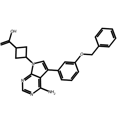 Nc1ncnc2c1c(-c1cccc(OCc3ccccc3)c1)cn2C1CC(C(=O)O)C1